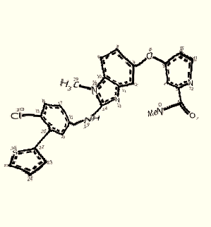 CNC(=O)c1cc(Oc2ccc3c(c2)nc(Nc2ccc(Cl)c(-c4cccs4)c2)n3C)ccn1